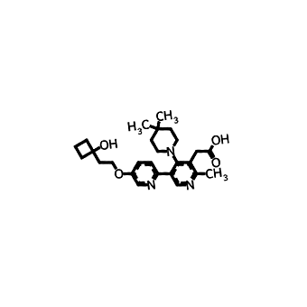 Cc1ncc(-c2ccc(OCCC3(O)CCC3)cn2)c(N2CCC(C)(C)CC2)c1CC(=O)O